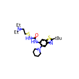 CCN(CC)CCSNC(=O)Nc1cc2sc(C(C)(C)C)nc2cc1N1CCCCC1